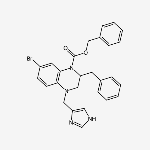 O=C(OCc1ccccc1)N1c2cc(Br)ccc2N(Cc2c[nH]cn2)CC1Cc1ccccc1